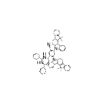 CC1(C)C2=C(C=CCC2)C2=C1C1=C(CC2)N(C2CC(N3c4ccccc4C4C3CCC3C5=C(CCCC5)C(C)(C)C34)=C(C#N)C=C2C2C=CC(C3C=CCCC3)NC(C3CC=CCC3)N2)C2C=CC=CC12